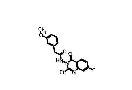 CCc1nc2cc(F)ccc2c(=O)n1NC(=O)Cc1cccc(OC(F)(F)F)c1